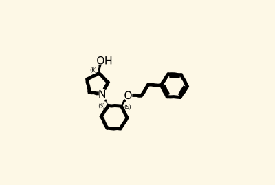 O[C@@H]1CCN([C@H]2CCCC[C@@H]2OCCc2ccccc2)C1